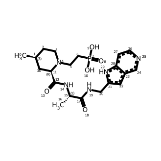 C[C@H]1CCN(CCP(=O)(O)O)[C@@H](C(=O)N[C@@H](C)C(=O)NCc2cc3cnccc3[nH]2)C1